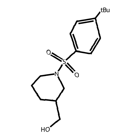 CC(C)(C)c1ccc(S(=O)(=O)N2CCCC(CO)C2)cc1